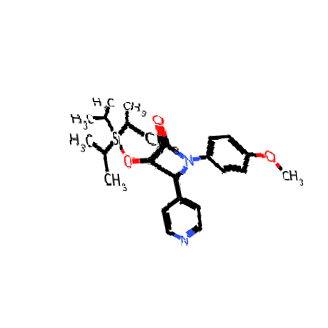 COc1ccc(N2C(=O)C(O[Si](C(C)C)(C(C)C)C(C)C)C2c2ccncc2)cc1